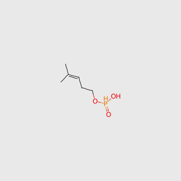 CC(C)=CCCO[PH](=O)O